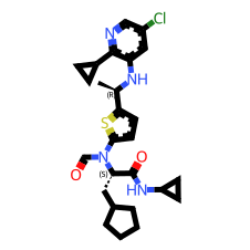 C[C@@H](Nc1cc(Cl)cnc1C1CC1)c1ccc(N(C=O)[C@@H](CC2CCCC2)C(=O)NC2CC2)s1